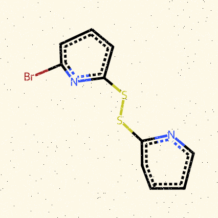 Brc1cccc(SSc2ccccn2)n1